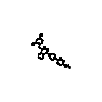 Nc1ccc(N2CCN(c3nnc(Cc4ccc(Cl)cc4Cl)c4ccccc34)CC2)nc1